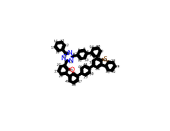 c1ccc(-c2ccc(-c3nc(-c4ccccc4)nc(-c4cccc5c4oc4c(-c6ccc(-c7ccc8sc9ccccc9c8c7)cc6)cccc45)n3)cc2)cc1